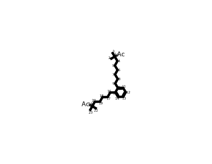 CC(=O)C(C)(C)CCCCCCc1ccccc1CCCCCC(C)(C)C(C)=O